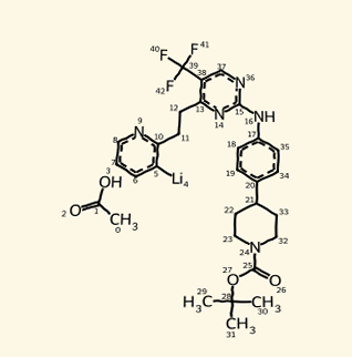 CC(=O)O.[Li][c]1cccnc1CCc1nc(Nc2ccc(C3CCN(C(=O)OC(C)(C)C)CC3)cc2)ncc1C(F)(F)F